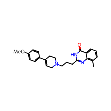 COc1ccc(C2=CCN(CCCc3nc4c(C)cccc4c(=O)[nH]3)CC2)cc1